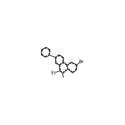 CCc1c(C)c2ccc(Br)cc2c2ccc(-c3ccccc3)cc12